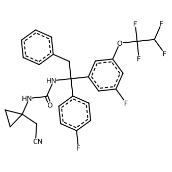 N#CCC1(NC(=O)NC(Cc2ccccc2)(c2ccc(F)cc2)c2cc(F)cc(OC(F)(F)C(F)F)c2)CC1